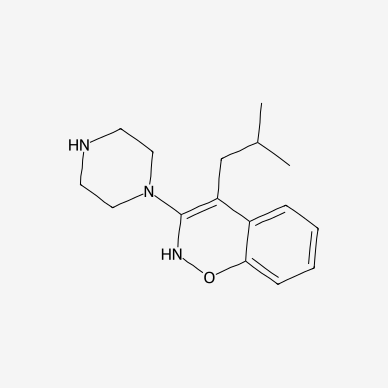 CC(C)CC1=C(N2CCNCC2)NOc2ccccc21